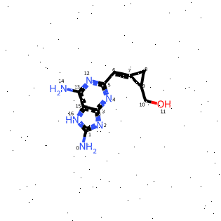 Nc1nc2nc(C=C3CC3CO)nc(N)c2[nH]1